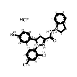 Cl.O=C(NN1CCc2ccccc21)C1=NN(c2ccc(Cl)cc2Cl)C(c2ccc(Br)cc2)C1